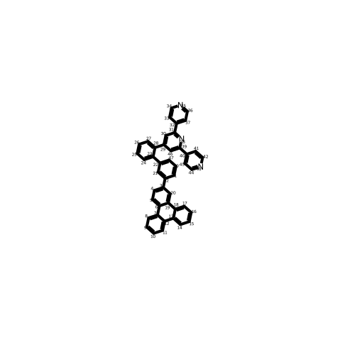 c1cc(-c2ccc3c4ccccc4c4ccccc4c3c2)cc(-c2ccccc2-c2cc(-c3ccncc3)nc(-c3ccncc3)c2)c1